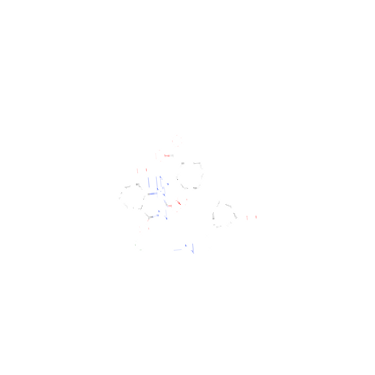 CCOC(=O)c1cccc(OC)c1Nn1c(=O)n(CCC2NCC3CCc4c(OC)cccc4C32)c(=O)c2cccc(OC)c21.Cl